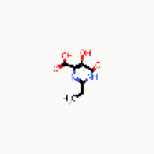 CCc1nc(C(=O)O)c(O)c(=O)[nH]1